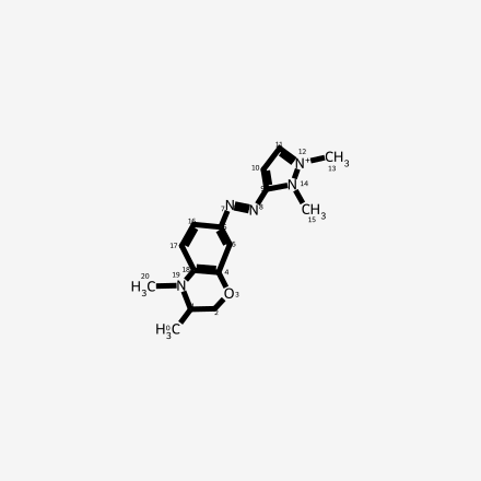 CC1COc2cc(N=Nc3cc[n+](C)n3C)ccc2N1C